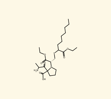 CCCCCCCC(SC[C@@H](C(=O)OCC)N1CCCC1(C(=O)O)C(=O)C(C)N)C(=O)OCC